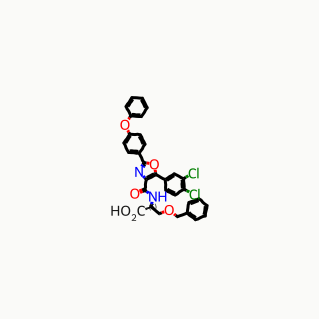 O=C(N[C@@H](COCc1ccccc1)C(=O)O)c1nc(-c2ccc(Oc3ccccc3)cc2)oc1-c1ccc(Cl)c(Cl)c1